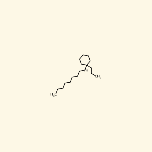 CCCCCCCCPC1(CCC)CCCCC1